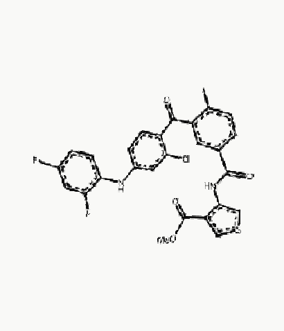 COC(=O)c1cscc1NC(=O)c1ccc(C)c(C(=O)c2ccc(Nc3ccc(F)cc3F)cc2Cl)c1